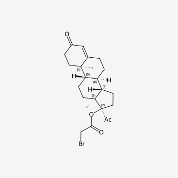 CC(=O)[C@@]1(OC(=O)CBr)CC[C@H]2[C@@H]3CCC4=CC(=O)CC[C@]4(C)[C@H]3CC[C@@]21C